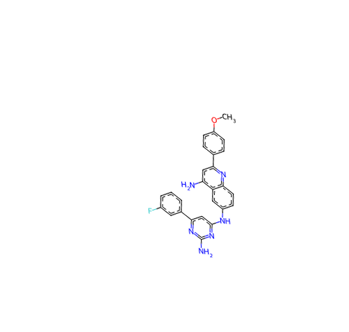 COc1ccc(-c2cc(N)c3cc(Nc4cc(-c5cccc(F)c5)nc(N)n4)ccc3n2)cc1